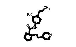 CC=Cc1ccc(NC(=O)c2ccccc2NCc2ccncc2)cc1C(F)(F)F